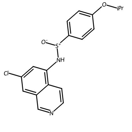 CC(C)Oc1ccc([S+]([O-])Nc2cc(Cl)cc3cnccc23)cc1